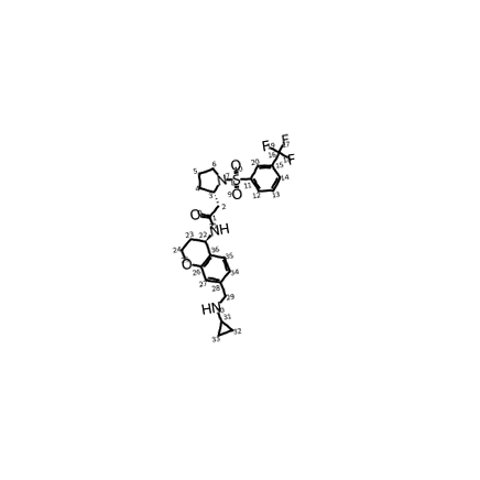 O=C(C[C@@H]1CCCN1S(=O)(=O)c1cccc(C(F)(F)F)c1)N[C@@H]1CCOc2cc(CNC3CC3)ccc21